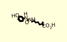 C=C(CCCCCNC(=O)Nc1cccc(O)c1)C(=O)O